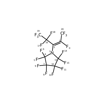 FC(=C(N1C(F)(F)C(F)(F)C(F)(F)C1(F)F)C(F)(F)C(F)(F)F)C(F)(F)F